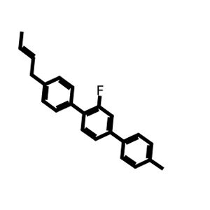 CC=CCc1ccc(-c2ccc(-c3ccc(C)cc3)cc2F)cc1